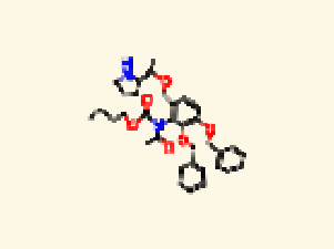 CCCCOC(=O)N(C(C)=O)c1c(COC(C)[C@H]2CCCN2)ccc(OCc2ccccc2)c1OCc1ccccc1